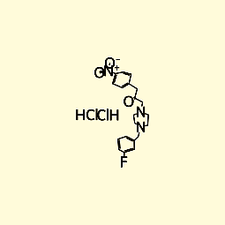 Cl.Cl.O=C(Cc1ccc([N+](=O)[O-])cc1)CN1CCN(Cc2cccc(F)c2)CC1